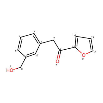 O=C(Cc1cccc(CO)c1)c1ccco1